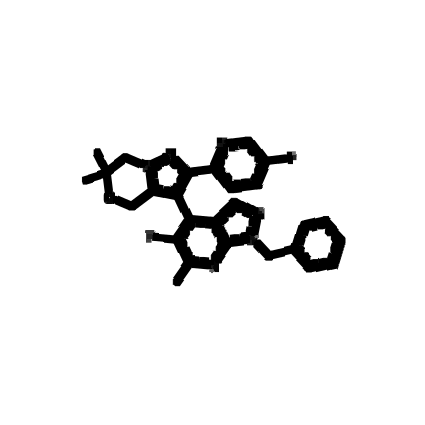 Cc1nc2c(cnn2Cc2ccccc2)c(-c2c(-c3ccc(F)cn3)nn3c2COC(C)(C)C3)c1F